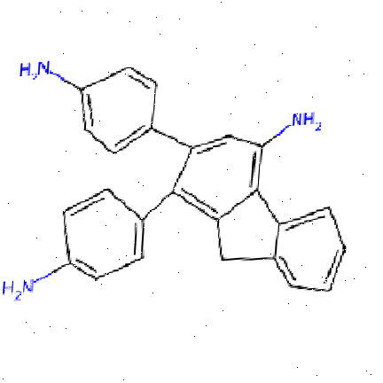 Nc1ccc(-c2cc(N)c3c(c2-c2ccc(N)cc2)Cc2ccccc2-3)cc1